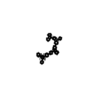 c1ccc(-c2nc(-c3ccccc3)nc(-c3ccc(-c4ccc(-n5c6ccccc6c6cc(-c7ccc8c(c7)c7cc(-n9c%10ccccc%10c%10ccccc%109)ccc7n8-c7ccccc7)ccc65)cc4)cc3)n2)cc1